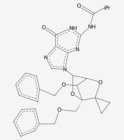 CC(C)C(=O)Nc1nc2c(ncn2C2O[C@@]3(COCc4ccccc4)C(OCc4ccccc4)C2OC32CC2)c(=O)[nH]1